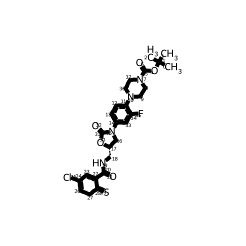 CC(C)(C)OC(=O)N1CCN(c2ccc(N3C[C@H](CNC(=O)C4=CC(Cl)=CCC4=S)OC3=O)cc2F)CC1